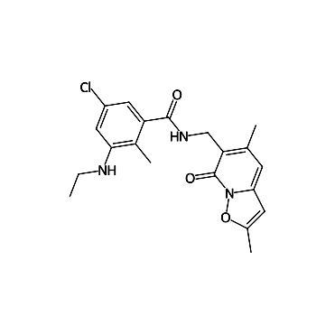 CCNc1cc(Cl)cc(C(=O)NCc2c(C)cc3cc(C)on3c2=O)c1C